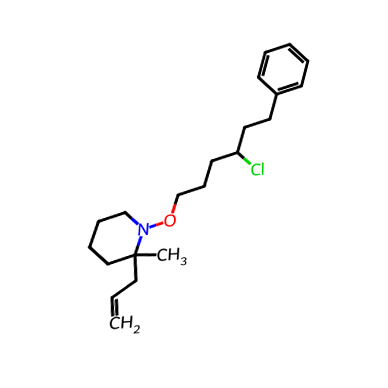 C=CCC1(C)CCCCN1OCCCC(Cl)CCc1ccccc1